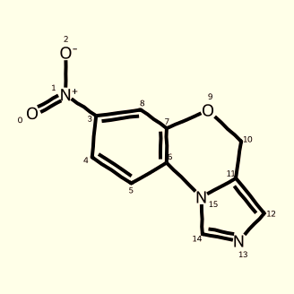 O=[N+]([O-])c1ccc2c(c1)OCc1cncn1-2